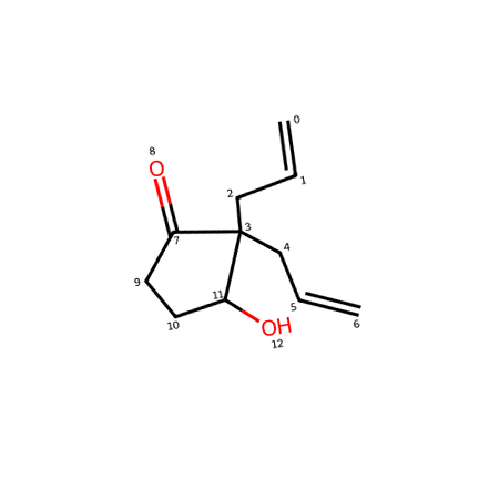 C=CCC1(CC=C)C(=O)CCC1O